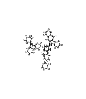 c1ccc(-c2ccc3c(c2)sc2c(-c4ccc5c(c4)c4ccccc4n5-c4ccccc4)nc(-n4c5ccccc5c5cc6ccccc6cc54)nc23)cc1